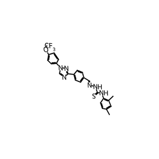 Cc1ccc(NC(=S)N/N=C/c2ccc(-c3ncn(-c4ccc(OC(F)(F)F)cc4)n3)cc2)c(C)c1